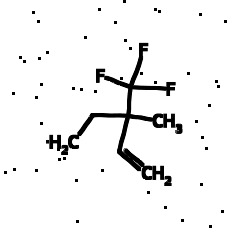 [CH2]CC(C)(C=C)C(F)(F)F